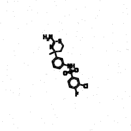 CC1(c2cccc(NS(=O)(=O)c3ccc(F)c(Cl)c3)c2)CCSC(N)=N1